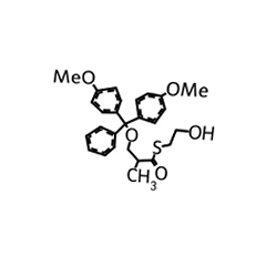 COc1ccc(C(OCC(C)C(=O)SCCO)(c2ccccc2)c2ccc(OC)cc2)cc1